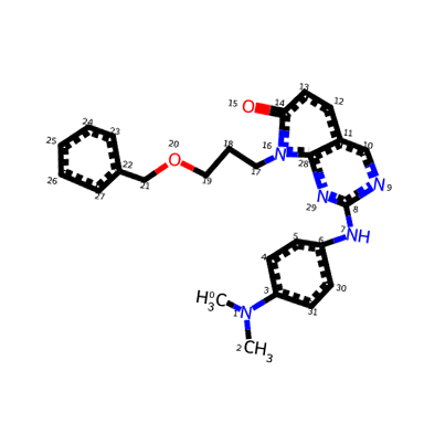 CN(C)c1ccc(Nc2ncc3ccc(=O)n(CCCOCc4ccccc4)c3n2)cc1